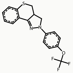 FC(F)(F)Oc1ccc(N2CC3CSc4ccccc4C3=N2)cc1